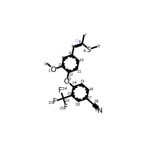 COc1cc(/C=C(/C)SC)ccc1Oc1ccc(C#N)cc1C(F)(F)F